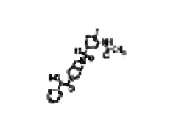 CC(=O)Nc1cc(S(=O)(=O)N2CC3=C(CN(C(=O)[C@H](O)c4ccccc4)C3)C2)ccc1F